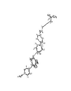 N#Cc1ccc(-c2nc(-c3ccc(-c4ccc(OCCCC(=O)O)cc4)cc3)no2)cc1